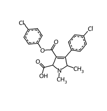 CC1C(c2ccc(Cl)cc2)=C(C(=O)Oc2ccc(Cl)cc2)C(C(=O)O)N1C